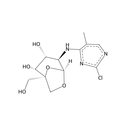 Cc1cnc(Cl)nc1N[C@H]1[C@H]2OC[C@](CO)(O2)[C@H](O)[C@@H]1O